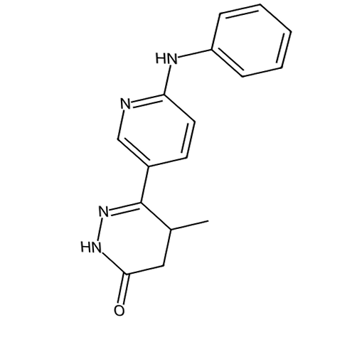 CC1CC(=O)NN=C1c1ccc(Nc2ccccc2)nc1